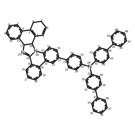 C1=CC2=C(CC1)c1ccccc1C1N=C3c4ccccc4-c4cc(-c5ccc(N(c6ccc(-c7ccccc7)cc6)c6ccc(-c7ccccc7)cc6)cc5)ccc4N3C21